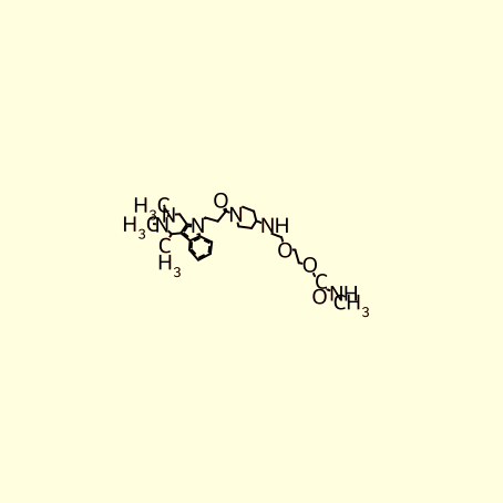 CNC(=O)CCOCCOCCNC1CCN(C(=O)CCn2c3c(c4ccccc42)C(C)N(C)N(C)C3)CC1